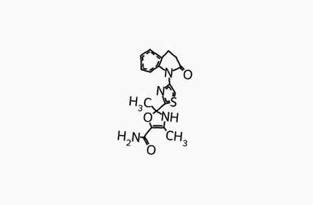 CC1=C(C(N)=O)OC(C)(c2nc(N3C(=O)CCc4ccccc43)cs2)N1